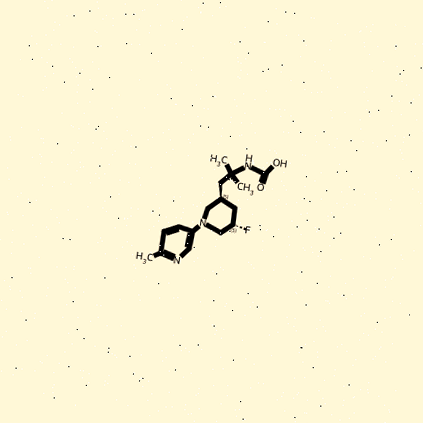 Cc1ccc(N2C[C@@H](F)C[C@H](CC(C)(C)NC(=O)O)C2)cn1